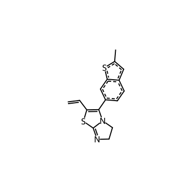 C=CC1=C(c2ccc3cc(C)sc3c2)N2CCN=C2S1